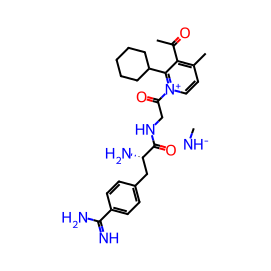 CC(=O)c1c(C)cc[n+](C(=O)CNC(=O)[C@@H](N)Cc2ccc(C(=N)N)cc2)c1C1CCCCC1.C[NH-]